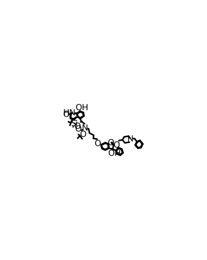 CC(C)(C)OC(=O)N(CCCCCOc1ccc(C(O)(C(=O)OCC2CCN(Cc3ccccc3)CC2)c2ccccc2)cc1)CC(O[Si](C)(C)C(C)(C)C)c1ccc(O)c2[nH]c(=O)ccc12